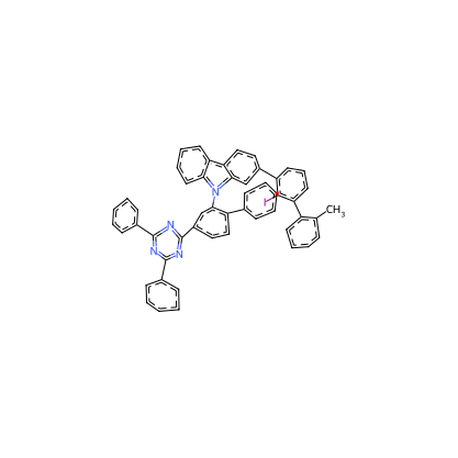 Cc1ccccc1-c1cccc(-c2ccc3c4ccccc4n(-c4cc(-c5nc(-c6ccccc6)nc(-c6ccccc6)n5)ccc4-c4ccccc4)c3c2)c1I